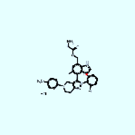 CCc1cccc(CC)c1-n1nc2c(c1-c1c(F)cc(COC(=O)CN)c3[nH]ccc13)CN(c1ccc(C(F)(F)F)cc1)CC2.Cl